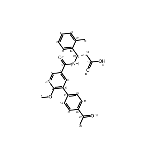 COc1ncc(C(=O)N[C@@H](CC(=O)O)c2ccccc2C)cc1-c1ccc(C(C)=O)cc1